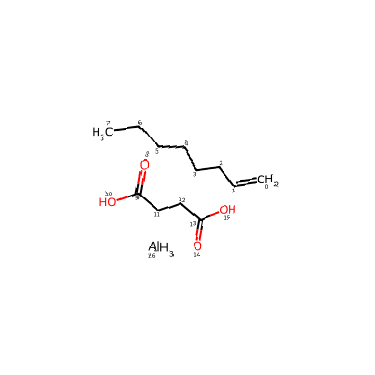 C=CCCCCCC.O=C(O)CCC(=O)O.[AlH3]